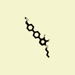 CCCCOc1ccc(C2CCC(C3CCC(=COC)CC3)CC2)c(F)c1F